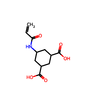 C=CC(=O)NC1CC(C(=O)O)CC(C(=O)O)C1